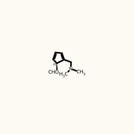 CN(C)CC1=CC=C[C@@H]1C=O